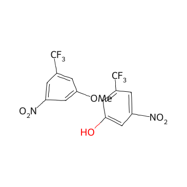 COc1cc([N+](=O)[O-])cc(C(F)(F)F)c1.O=[N+]([O-])c1cc(O)cc(C(F)(F)F)c1